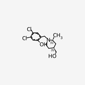 C[C@H]1C[C@@H](CO)CCN1Cc1cc(Cl)c(Cl)cc1O